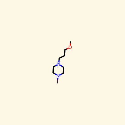 COCCCN1CCN(I)CC1